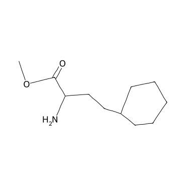 COC(=O)C(N)CCC1CCCCC1